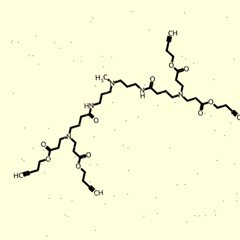 C#CCCOC(=O)CCN(CCCC(=O)NCCCN(C)CCCNC(=O)CCCN(CCC(=O)OCCC#C)CCC(=O)OCCC#C)CCC(=O)OCCC#C